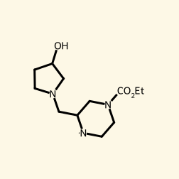 CCOC(=O)N1CC[N]C(CN2CCC(O)C2)C1